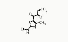 C=CC(=O)C(=O)c1sc(NCC)nc1C